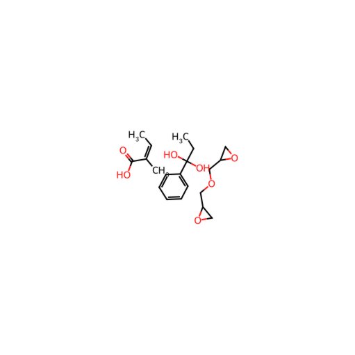 C(OCC1CO1)C1CO1.CC=C(C)C(=O)O.CCC(O)(O)c1ccccc1